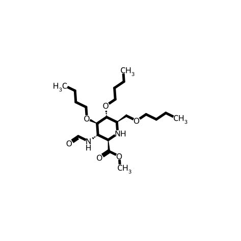 CCCCOC[C@H]1N[C@@H](C(=O)OC)[C@H](NC=O)[C@@H](OCCCC)[C@@H]1OCCCC